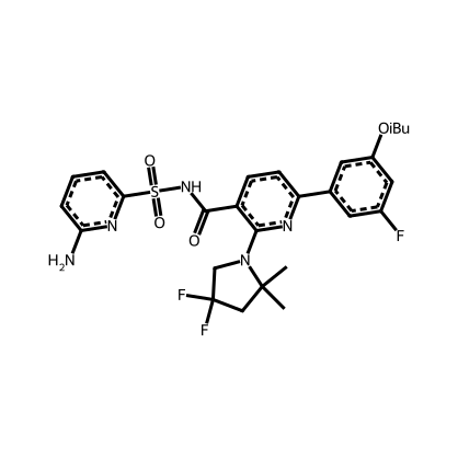 CC(C)COc1cc(F)cc(-c2ccc(C(=O)NS(=O)(=O)c3cccc(N)n3)c(N3CC(F)(F)CC3(C)C)n2)c1